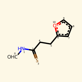 O=CNC(=S)CCc1ccco1